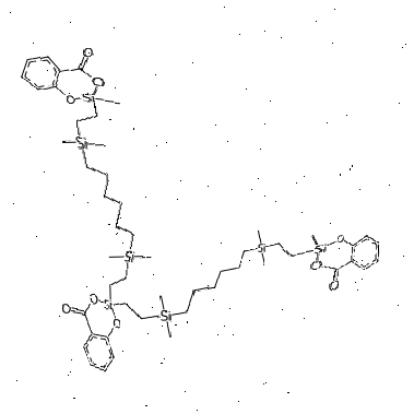 C[Si](C)(CCCCCC[Si](C)(C)CC[Si]1(CC[Si](C)(C)CCCCCC[Si](C)(C)CC[Si]2(C)OC(=O)c3ccccc3O2)OC(=O)c2ccccc2O1)CC[Si]1(C)OC(=O)c2ccccc2O1